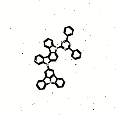 c1ccc(-c2nc(-c3ccccc3)nc(-n3c4ccccc4c4c5c6ccccc6n(-c6cc7c8ccccc8n8c9ccccc9c(c6)c78)c5ccc43)n2)cc1